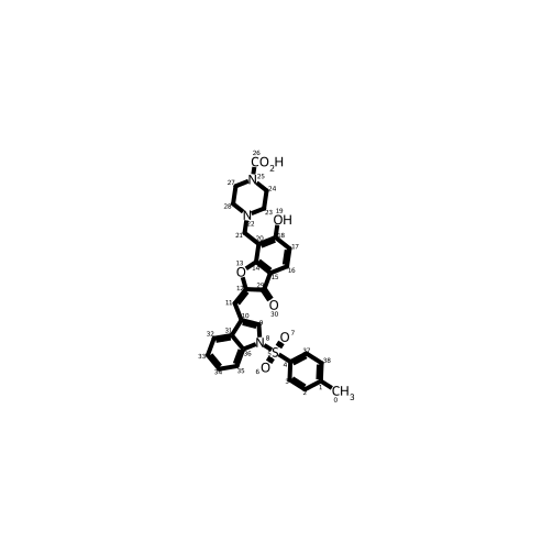 Cc1ccc(S(=O)(=O)n2cc(C=C3Oc4c(ccc(O)c4CN4CCN(C(=O)O)CC4)C3=O)c3ccccc32)cc1